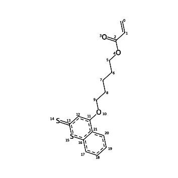 C=CC(=O)OCCCCCOc1cc(=S)sc2ccccc12